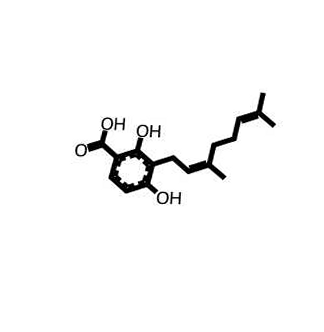 CC(C)=CCCC(C)=CCc1c(O)ccc(C(=O)O)c1O